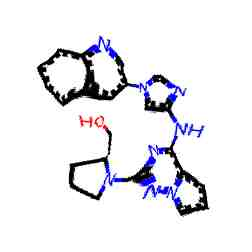 OC[C@@H]1CCCN1c1nc(Nc2cn(-c3cnc4ccccc4c3)cn2)c2cccn2n1